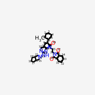 Cc1ccccc1-c1cc2cnc(NN3CC4CCCC4C3)nc2n(CCN2C(=O)c3ccccc3C2=O)c1=O